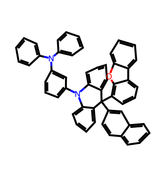 c1ccc(N(c2ccccc2)c2cccc(N3c4ccccc4C(c4ccc5ccccc5c4)(c4cccc5c4oc4ccccc45)c4ccccc43)c2)cc1